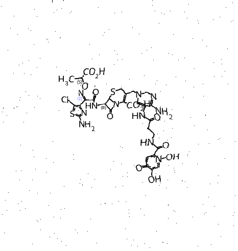 C[C@H](O/N=C(\C(=O)N[C@@H]1C(=O)N2C(C(=O)O)=C(CN3C=C(NC(=O)CCNC(=O)c4cc(=O)c(O)cn4O)C(N)=NC3)CSC12)c1nc(N)sc1Cl)C(=O)O